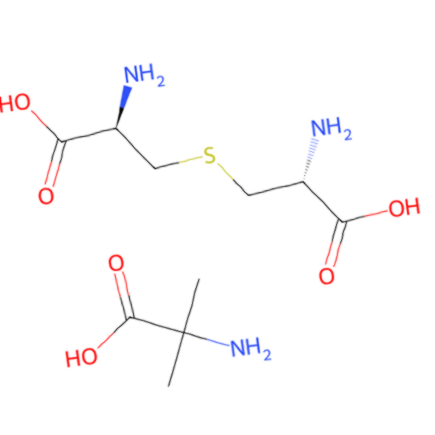 CC(C)(N)C(=O)O.N[C@@H](CSC[C@H](N)C(=O)O)C(=O)O